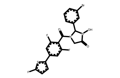 O=C1CN(C(=O)c2c(F)cc(-c3ccc(F)s3)cc2F)C(c2cccc(Br)c2)N1O